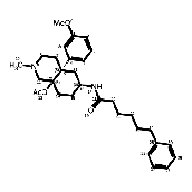 COc1cccc([C@@]23CCN(C)C[C@@]2(OC(C)=O)CC[C@H](NC(=O)CCCCCc2ccccc2)C3)c1